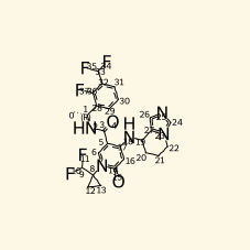 C[C@@H](NC(=O)c1cn(C2(C(F)F)CC2)c(=O)cc1NC1CCCn2cncc21)c1cccc(C(F)F)c1F